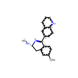 CCCCN[C@H]1Cc2cc(OC)ccc2C(c2ccc3ncccc3c2)=N1